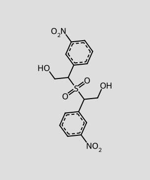 O=[N+]([O-])c1cccc(C(CO)S(=O)(=O)C(CO)c2cccc([N+](=O)[O-])c2)c1